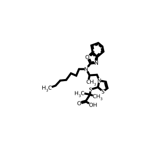 CCCCCCCN(c1nc2ccccc2o1)C(C)CN1C=CSC1SC(C)(C)C(=O)O